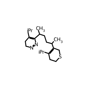 CC(C)C1=C(C(C)CCC(C)C2=C(C(C)C)CCN=N2)CSCC1